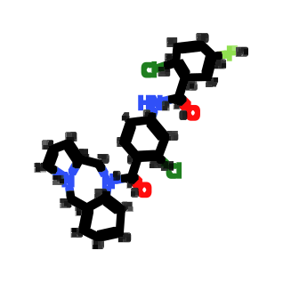 O=C(Nc1ccc(C(=O)N2Cc3cccn3Cc3ccccc32)c(Cl)c1)c1cc(F)ccc1Cl